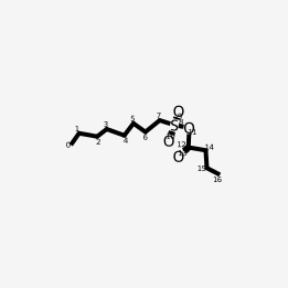 CCCCCCCCS(=O)(=O)OC(=O)CCC